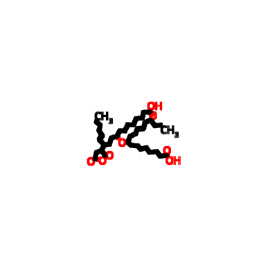 CCCC/C=C/C(CCC(CCCCCCCC(=O)O)OC(CC/C=C/CCCCC)CCCCCCCC(=O)O)C1CC(=O)OC1=O